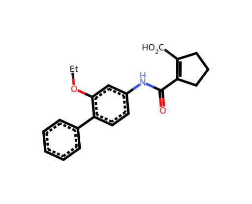 CCOc1cc(NC(=O)C2=C(C(=O)O)CCC2)ccc1-c1ccccc1